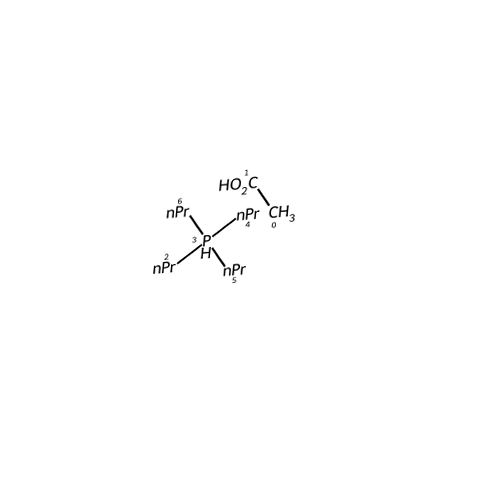 CC(=O)O.CCC[PH](CCC)(CCC)CCC